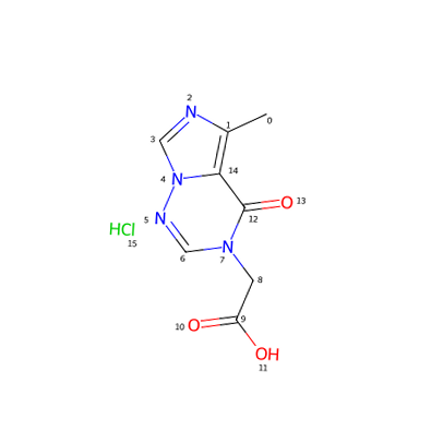 Cc1ncn2ncn(CC(=O)O)c(=O)c12.Cl